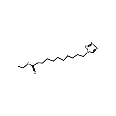 CCOC(=O)CCCCCCCCCCn1cnnn1